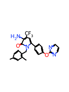 Cc1ccc(Cn2c(-c3ccc(Oc4ncccn4)cc3)cc(C(F)(F)F)c(N)c2=O)c(C)c1